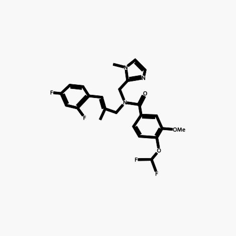 COc1cc(C(=O)N(CC(C)=Cc2ccc(F)cc2F)Cc2nccn2C)ccc1OC(F)F